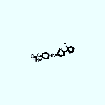 O=C1NC[C@]2(CC[C@@H](CNc3ccc(-c4ccccc4F)nc3)CC2)O1